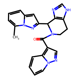 Cc1cccc2cc(C3c4nc[nH]c4CCN3C(=O)c3cnn4ccccc34)nn12